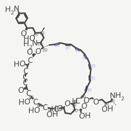 C[C@@H](N)[C@H](O)COCO[C@H]1/C=C/C=C/C=C\C=C/C=C/C=C/C=C/C[C@@H]([C@@H](N)C[C@H](C)[C@@H](O)CC(=O)c2ccc(N)cc2)OC(=O)CC(O)CCCC(=O)C[C@H](O)C[C@H](O)C[C@H](O)C[C@]2(O)CC[C@@H](C(=O)O)[C@H](C1)O2